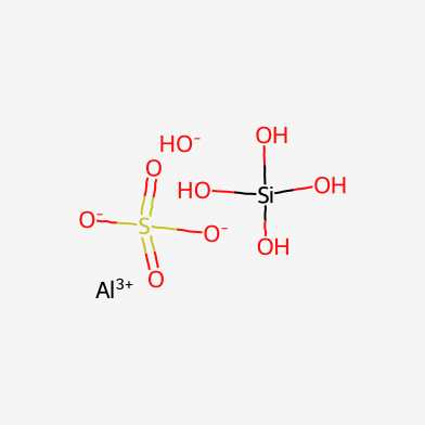 O=S(=O)([O-])[O-].O[Si](O)(O)O.[Al+3].[OH-]